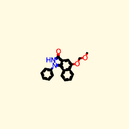 COCOc1cc2c(=O)[nH]n(-c3ccccc3)c2c2ccccc12